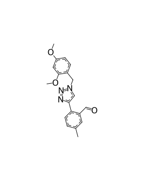 COc1ccc(Cn2cc(-c3ccc(C)cc3C=O)nn2)c(OC)c1